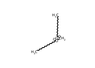 [CH2]CC(OC(=O)CCCCCCCCCCCCCCC)OC(=O)CCCCCCCCCCCCCCC